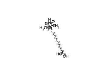 CN1CN(CCCCCCCCCCCCCCCC(O)CO)c2c1c(=O)[nH]c(=O)n2C